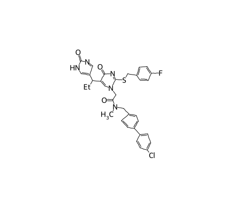 CCC(c1cnc(=O)[nH]c1)c1cn(CC(=O)N(C)Cc2ccc(-c3ccc(Cl)cc3)cc2)c(SCc2ccc(F)cc2)nc1=O